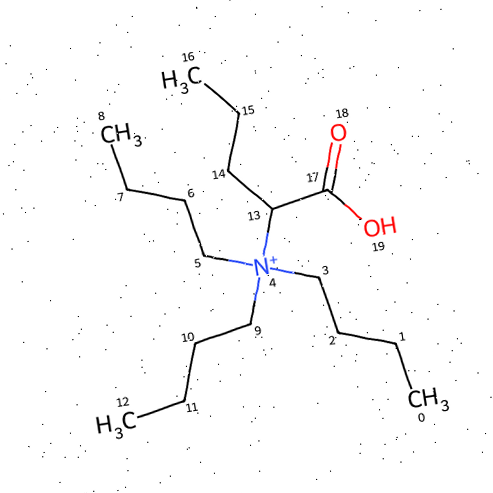 CCCC[N+](CCCC)(CCCC)C(CCC)C(=O)O